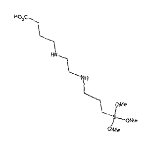 CO[Si](CCCNCCNCCCC(=O)O)(OC)OC